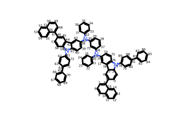 C1=CC2C(C=C1c1cccc3ccccc13)c1cc(N(c3ccccc3)c3cccc(N(c4ccccc4)c4ccc5c(c4)c4cc(-c6cccc7ccccc67)ccc4n5-c4ccc(-c5ccccc5)cc4)c3)ccc1N2c1ccc(-c2ccccc2)cc1